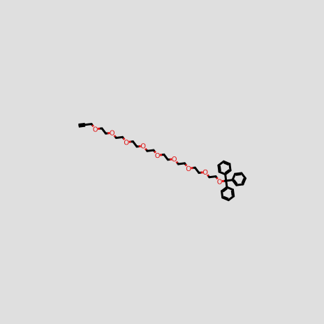 C#CCOCCOCCOCCOCCOCCOCCOCCOCCOC(c1ccccc1)(c1ccccc1)c1ccccc1